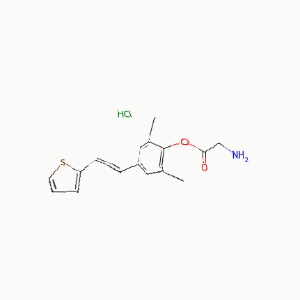 Cc1cc(/C=C/c2cccs2)cc(C)c1OC(=O)CN.Cl